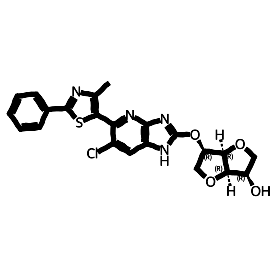 Cc1nc(-c2ccccc2)sc1-c1nc2nc(O[C@@H]3CO[C@H]4[C@@H]3OC[C@H]4O)[nH]c2cc1Cl